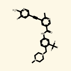 Cc1ncc(C(=O)Nc2ccc(CN3CCN(C)CC3)c(C(F)(F)F)c2)cc1C#Cc1cnc(N)c(F)c1